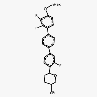 CCCCCCOc1ccc(-c2ccc(-c3ccc(C4CCC(CCC)CO4)c(F)c3)cc2)c(F)c1F